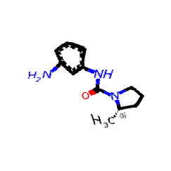 C[C@H]1CCCN1C(=O)Nc1cccc(N)c1